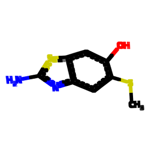 CSc1cc2nc(N)sc2cc1O